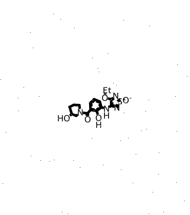 CCOc1n[s+]([O-])nc1Nc1cccc(C(=O)N2CCCC(O)C2)c1O